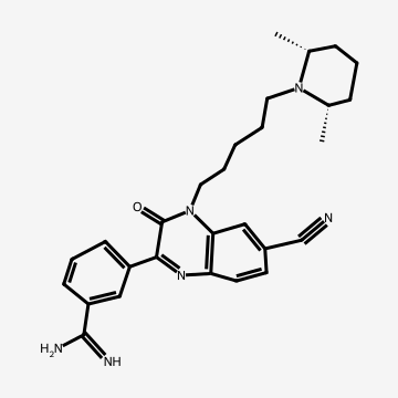 C[C@@H]1CCC[C@H](C)N1CCCCCn1c(=O)c(-c2cccc(C(=N)N)c2)nc2ccc(C#N)cc21